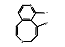 CC(C)/C1=C/CS/C=C\c2ccnc(C(C)C)c21